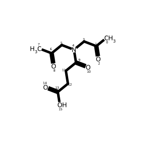 CC(=O)CN(CC(C)=O)C(=O)CCC(=O)O